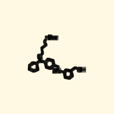 CCCCCCCCCCCCCCON(c1ccccc1)c1ccc(CNc2cccc(CO)c2)cc1